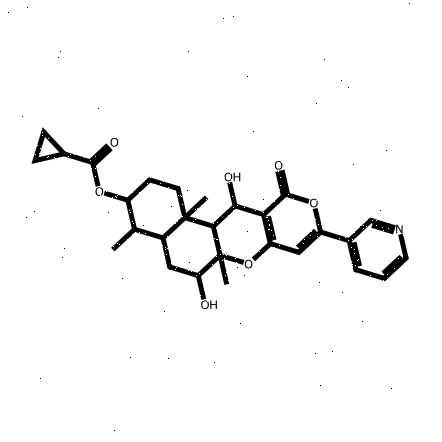 CC1C(OC(=O)C2CC2)CCC2(C)C1CC(O)C1(C)Oc3cc(-c4cccnc4)oc(=O)c3C(O)C21